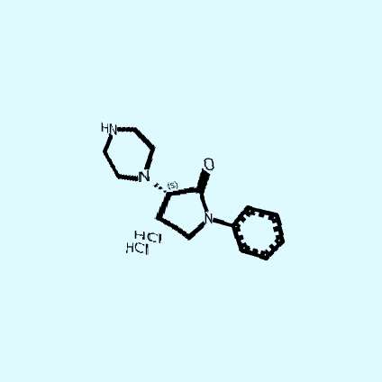 Cl.Cl.O=C1[C@@H](N2CCNCC2)CCN1c1ccccc1